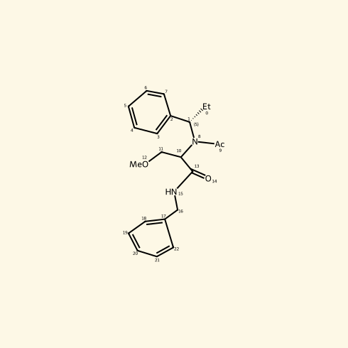 CC[C@@H](c1ccccc1)N(C(C)=O)C(COC)C(=O)NCc1ccccc1